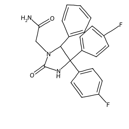 NC(=O)CN1C(=O)NC(c2ccc(F)cc2)(c2ccc(F)cc2)C1c1ccccc1